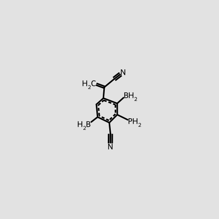 Bc1cc(C(=C)C#N)c(B)c(P)c1C#N